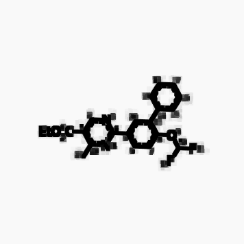 CCOC(=O)c1cnc(-c2ccc(OC(F)F)c(-c3ccccc3)c2)nc1C